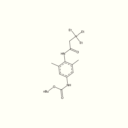 CCCCOC(=O)Nc1cc(C)c(NC(=O)C[N+](CC)(CC)CC)c(C)c1